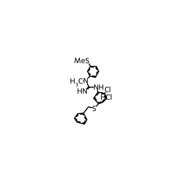 CSc1cccc(N(C)C(=N)Nc2cc(SCc3ccccc3)ccc2Cl)c1.Cl